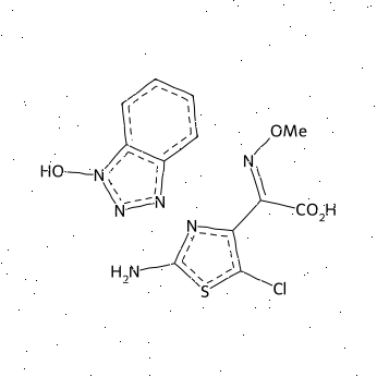 CON=C(C(=O)O)c1nc(N)sc1Cl.On1nnc2ccccc21